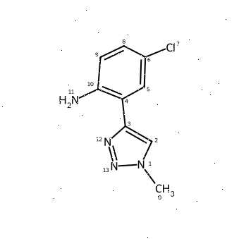 Cn1cc(-c2cc(Cl)ccc2N)nn1